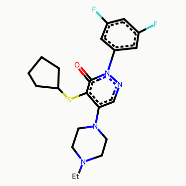 CCN1CCN(c2cnn(-c3cc(F)cc(F)c3)c(=O)c2SC2CCCC2)CC1